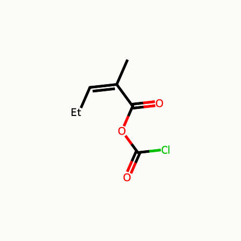 CCC=C(C)C(=O)OC(=O)Cl